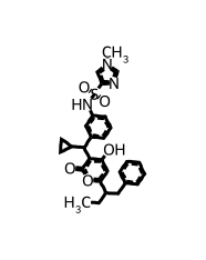 CCC(Cc1ccccc1)c1cc(O)c(C(c2cccc(NS(=O)(=O)c3cn(C)cn3)c2)C2CC2)c(=O)o1